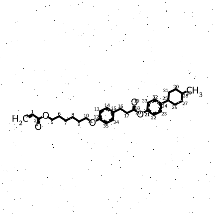 C=CC(=O)OCCCCCCOc1ccc(CCC(=O)Oc2ccc(C3CCC(C)CC3)cc2)cc1